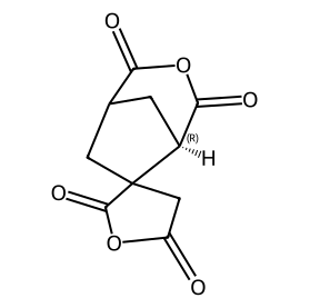 O=C1CC2(CC3C[C@H]2C(=O)OC3=O)C(=O)O1